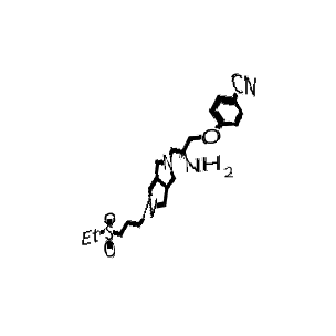 CCS(=O)(=O)CCCN1CC2CN(C[C@@H](N)COc3ccc(C#N)cc3)CC2C1